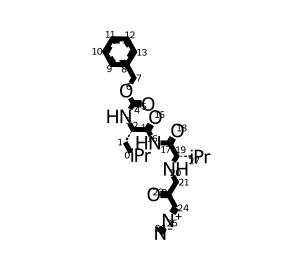 CC(C)C[C@H](NC(=O)OCc1ccccc1)C(=O)NC(=O)[C@@H](NCC(=O)C=[N+]=[N-])C(C)C